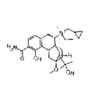 CC[N@+](C)(CC1CC1)[C@@H]1Cc2ccc(C(N)=O)c(O)c2C2C[C@@]3(OC)CC[C@]21C[C@@H]3C(C)(C)O